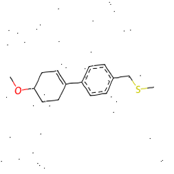 COC1CC=C(c2ccc(CSC)cc2)CC1